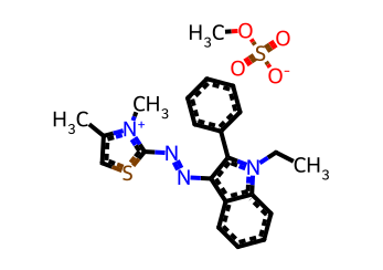 CCn1c(-c2ccccc2)c(N=Nc2scc(C)[n+]2C)c2ccccc21.COS(=O)(=O)[O-]